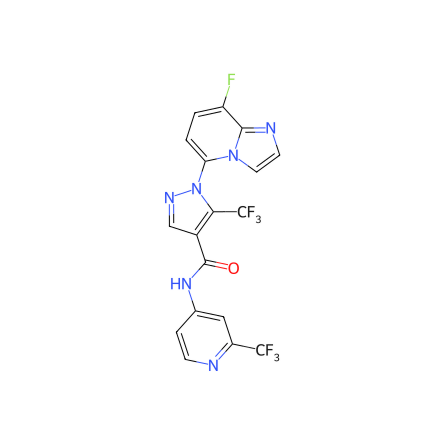 O=C(Nc1ccnc(C(F)(F)F)c1)c1cnn(-c2ccc(F)c3nccn23)c1C(F)(F)F